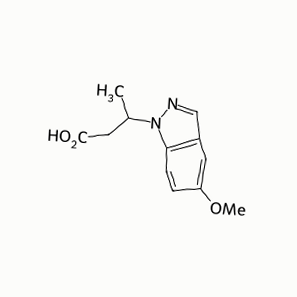 COc1ccc2c(cnn2C(C)CC(=O)O)c1